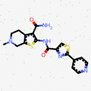 CN1CCc2c(sc(NC(=O)c3csc(-c4ccncc4)n3)c2C(N)=O)C1